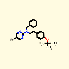 CCc1cnc(N(CCc2ccc(OC(C)(C)C(=O)O)cc2)Cc2ccccc2)nc1